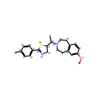 COc1ccc2c(c1)CCN(C(C)C1CN=C(c3ccc(C)cc3)S1)CC2